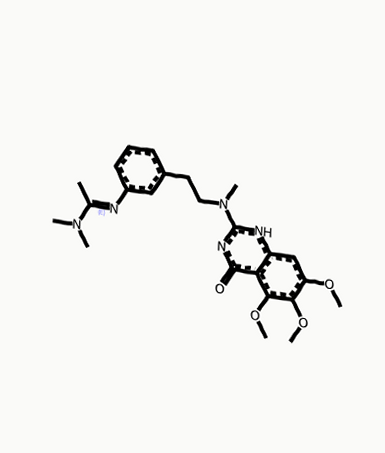 COc1cc2[nH]c(N(C)CCc3cccc(/N=C(\C)N(C)C)c3)nc(=O)c2c(OC)c1OC